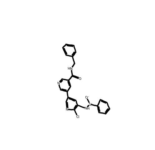 O=C(NCc1ccccc1)c1cncc(-c2cnc(Cl)c(N[S+]([O-])c3ccccc3)c2)c1